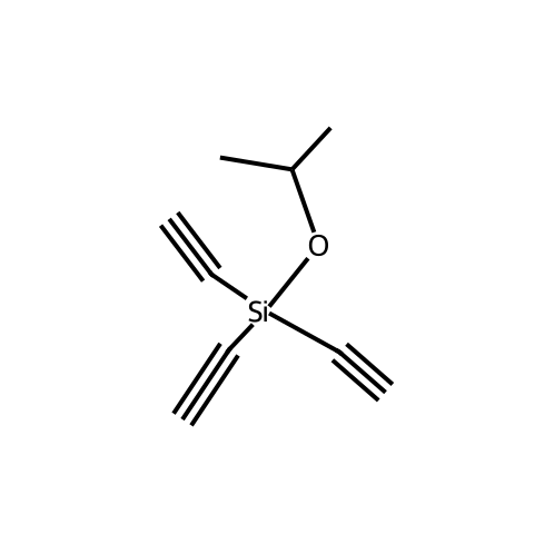 C#C[Si](C#C)(C#C)OC(C)C